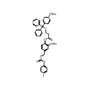 COc1ccc(C(SCCC(=O)Oc2ccc(COC(=O)Oc3ccc(C)cc3)cc2OC)(c2ccccc2)c2ccccc2)cc1